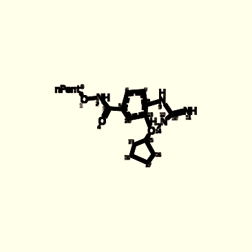 CCCCCONC(=O)c1ccc(NC(=N)N)c(OC2CCCC2)c1